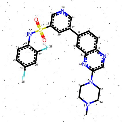 CN1CCN(c2cnc3ccc(-c4cncc(S(=O)(=O)Nc5ccc(F)cc5F)c4)cc3n2)CC1